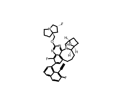 C#Cc1c(F)ccc2cccc(-c3cc4c5c(nc(OC[C@@]67CCCN6C[C@H](F)C7)nc5c3F)N3C[C@H]5CC[C@H](N5)[C@H]3CCC4)c12